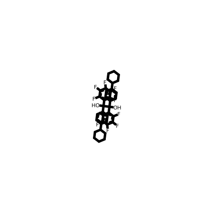 OC(c1ccc(C2CCCCC2)cc1)(c1c(F)c(F)c(F)c(F)c1F)C(O)(c1ccc(C2CCCCC2)cc1)c1c(F)c(F)c(F)c(F)c1F